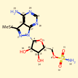 CSc1nn([C@@H]2O[C@H](COS(N)(=O)=O)[C@@H](O)[C@H]2O)c2ncnc(N)c12